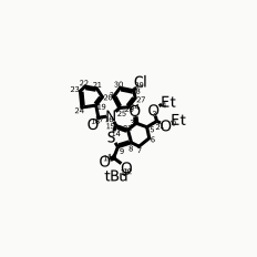 CCOC(OCC)C1CCc2c(C(=O)OC(C)(C)C)sc(N(C(=O)c3ccccc3)c3ccc(Cl)cc3)c2C1=O